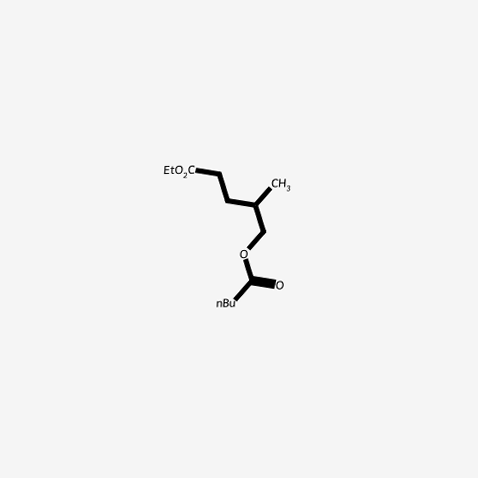 CCCCC(=O)OCC(C)CCC(=O)OCC